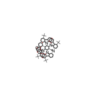 CC(C)(C)c1cccc2c1c1ccccc1n2-c1c(C#N)c(-n2c3ccccc3c3c(C(C)(C)C)cccc32)c(-n2c3ccccc3c3c(C(C)(C)C)cccc32)c(-c2cccc3oc4ccccc4c23)c1-n1c2ccccc2c2c(C(C)(C)C)cccc21